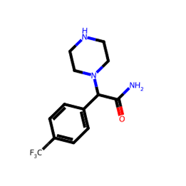 NC(=O)C(c1ccc(C(F)(F)F)cc1)N1CCNCC1